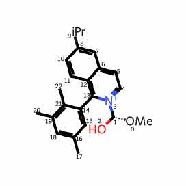 CO[C@H](O)[n+]1ccc2cc(C(C)C)ccc2c1-c1cc(C)cc(C)c1C